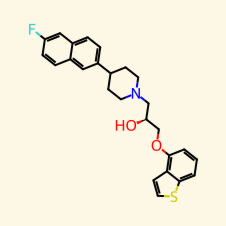 O[C@H](COc1cccc2sccc12)CN1CCC(c2ccc3cc(F)ccc3c2)CC1